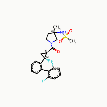 C[C@]1(NS(C)(=O)=O)CCN(C(=O)[C@@H]2C[C@@]2(F)c2ccccc2-c2c(F)cccc2F)C1